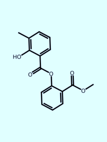 COC(=O)c1ccccc1OC(=O)c1cccc(C)c1O